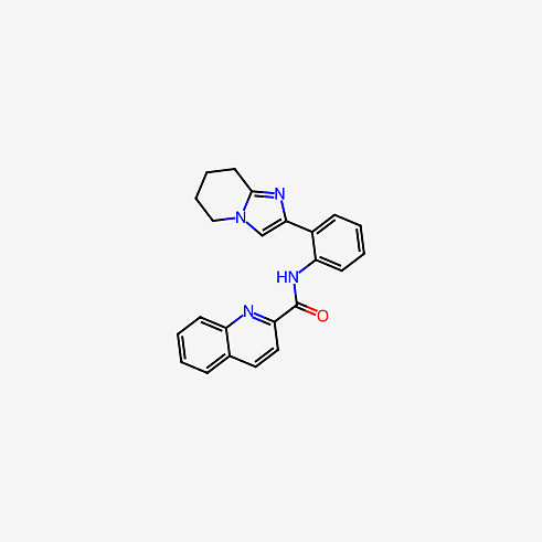 O=C(Nc1ccccc1-c1cn2c(n1)CCCC2)c1ccc2ccccc2n1